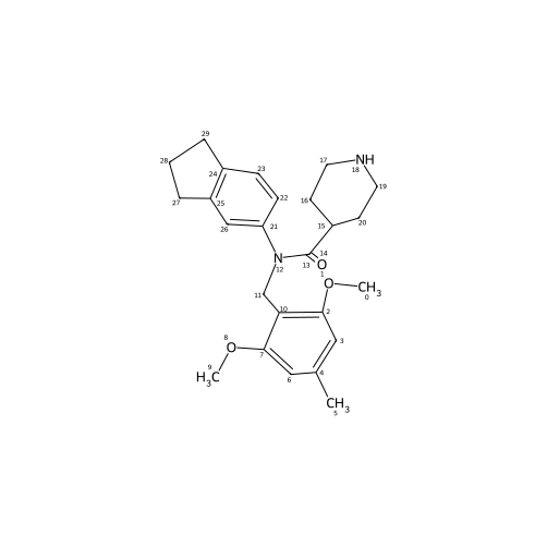 COc1cc(C)cc(OC)c1CN(C(=O)C1CCNCC1)c1ccc2c(c1)CCC2